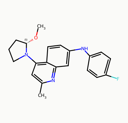 CO[C@H]1CCCN1c1cc(C)nc2cc(Nc3ccc(F)cc3)ccc12